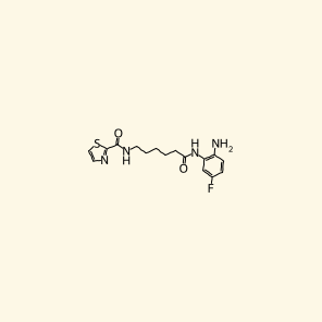 Nc1ccc(F)cc1NC(=O)CCCCCNC(=O)c1nccs1